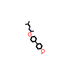 COc1ccc(-c2ccc(O/C(C)=C/C=C(C)C)cc2)cc1